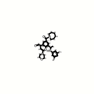 CC(Nc1cc(F)cc(F)c1)c1cc(C(=O)N2CCCCCC2)cc2c1OC(N1CCOCC1)=CC2C=O